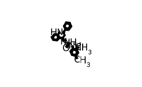 Cc1ccc(NC(=O)NN=C2CC(c3ccccc3)Nc3ccccc32)c(C)c1